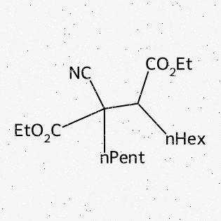 CCCCCCC(C(=O)OCC)C(C#N)(CCCCC)C(=O)OCC